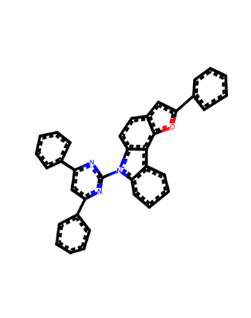 c1ccc(-c2cc(-c3ccccc3)nc(-n3c4ccccc4c4c5oc(-c6ccccc6)cc5ccc43)n2)cc1